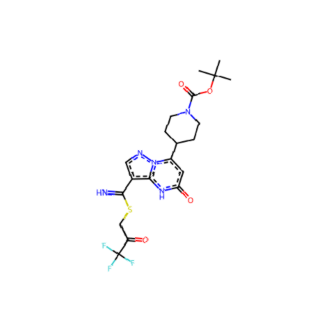 CC(C)(C)OC(=O)N1CCC(c2cc(=O)[nH]c3c(C(=N)SCC(=O)C(F)(F)F)cnn23)CC1